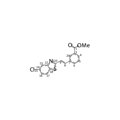 COC(=O)c1cccc(C=Cc2nc3cc(Cl)ccc3s2)c1